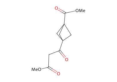 COC(=O)CC(=O)C12CC(C(=O)OC)(C1)C2